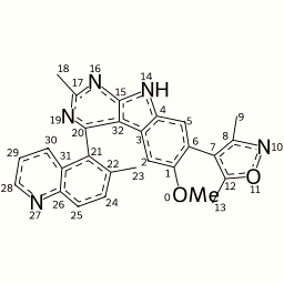 COc1cc2c(cc1-c1c(C)noc1C)[nH]c1nc(C)nc(-c3c(C)ccc4ncccc34)c12